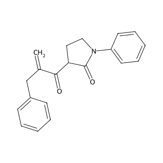 C=C(Cc1ccccc1)C(=O)C1CCN(c2ccccc2)C1=O